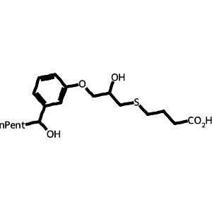 CCCCCC(O)c1cccc(OCC(O)CSCCCC(=O)O)c1